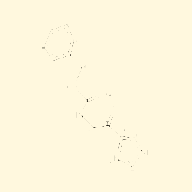 C[C@H](NC(=O)OCc1ccccc1)C(=O)c1c[nH]cn1